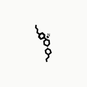 CCCCc1ccc([C@]2(C#N)CC[C@@H](C3CCC(CCC)CC3)CC2)cc1